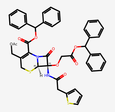 CC(=O)OCC1=C(C(=O)OC(c2ccccc2)c2ccccc2)N2C(=O)[C@](NC(=O)Cc3cccs3)(OCC(=O)OC(c3ccccc3)c3ccccc3)[C@H]2SC1